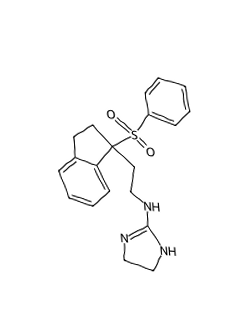 O=S(=O)(c1ccccc1)C1(CCNC2=NCCN2)CCc2ccccc21